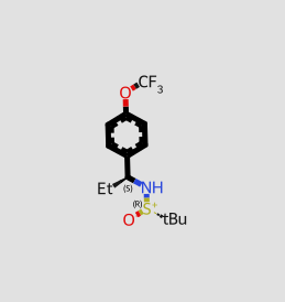 CC[C@H](N[S@@+]([O-])C(C)(C)C)c1ccc(OC(F)(F)F)cc1